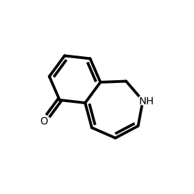 O=C1C=CC=C2CNC=CC=C12